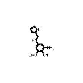 CCOc1nc(NCc2ccc[nH]2)cc(N)c1C#N